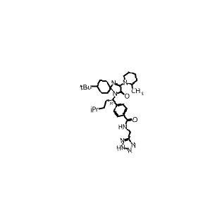 CC(C)CC[C@H](c1ccc(C(=O)NCc2nn[nH]n2)cc1)N1C(=O)C(N2CCCCC2C)=NC12CCC(C(C)(C)C)CC2